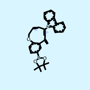 C=C1/C=C(n2c3ccccc3c3ccccc32)\C=C/COc2ccc(B3OC(C)(C)C(C)(C)O3)cc21